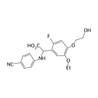 CCOc1cc(C(Nc2ccc(C#N)cc2)C(=O)O)c(F)cc1OCCO